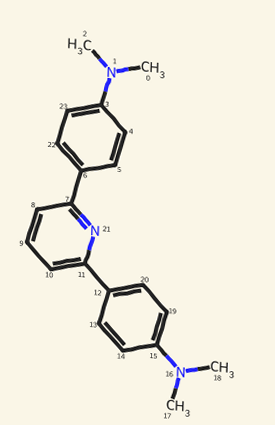 CN(C)c1ccc(-c2cccc(-c3ccc(N(C)C)cc3)n2)cc1